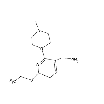 CN1CCN(C2=NC(OCC(F)(F)F)CC=C2CN)CC1